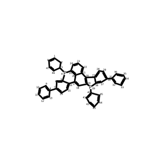 C1=CCC(P2c3cc(-c4ccccc4)ccc3-c3cc4c(c5cccc2c35)c2ccc(-c3ccccc3)cc2p4-c2ccccc2)C=C1